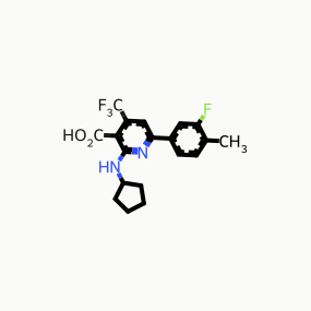 Cc1ccc(-c2cc(C(F)(F)F)c(C(=O)O)c(NC3CCCC3)n2)cc1F